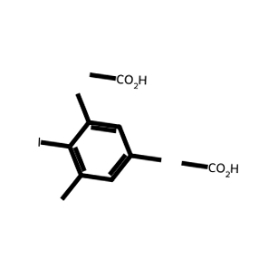 CC(=O)O.CC(=O)O.Cc1cc(C)c(I)c(C)c1